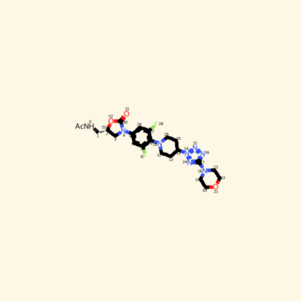 CC(=O)NC[C@H]1CN(c2cc(F)c(N3CCC(n4nnc(N5CCOCC5)n4)CC3)c(F)c2)C(=O)O1